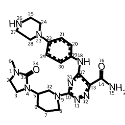 CN1CCN(C2CCCN(c3nnc(C(N)=O)c(Nc4ccc(N5CCNCC5)cc4)n3)C2)C1=O